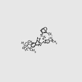 COc1cc[n+](-c2nc3cc4c(cc3[nH]2)C(C)(C)C(=O)C4(C)C)c(CSSc2ccoc2C)c1C